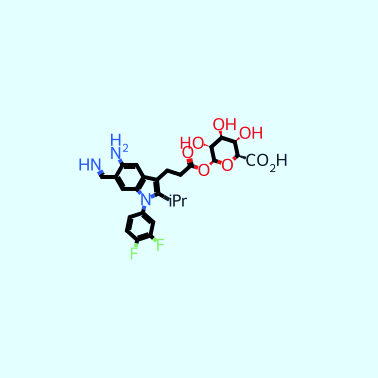 CC(C)c1c(CCC(=O)O[C@@H]2O[C@H](C(=O)O)[C@@H](O)[C@H](O)[C@H]2O)c2cc(N)c(C=N)cc2n1-c1ccc(F)c(F)c1